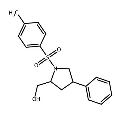 Cc1ccc(S(=O)(=O)N2CC(c3ccccc3)CC2CO)cc1